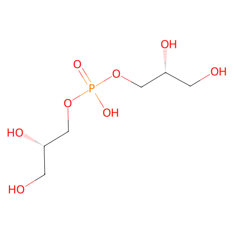 O=P(O)(OC[C@H](O)CO)OC[C@@H](O)CO